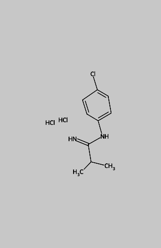 CC(C)C(=N)Nc1ccc(Cl)cc1.Cl.Cl